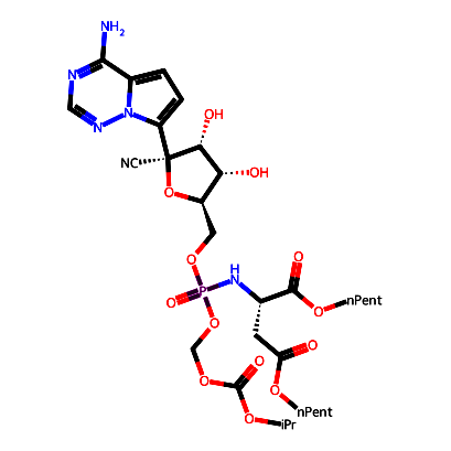 CCCCCOC(=O)C[C@H](NP(=O)(OCOC(=O)OC(C)C)OC[C@H]1O[C@@](C#N)(c2ccc3c(N)ncnn23)[C@H](O)[C@@H]1O)C(=O)OCCCCC